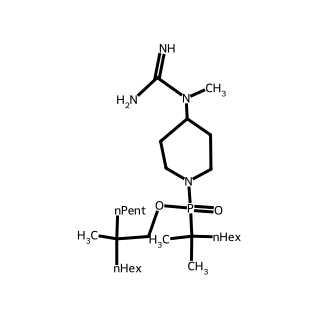 CCCCCCC(C)(CCCCC)COP(=O)(N1CCC(N(C)C(=N)N)CC1)C(C)(C)CCCCCC